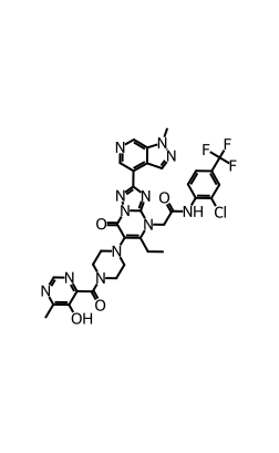 CCc1c(N2CCN(C(=O)c3ncnc(C)c3O)CC2)c(=O)n2nc(-c3cncc4c3cnn4C)nc2n1CC(=O)Nc1ccc(C(F)(F)F)cc1Cl